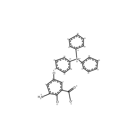 Nc1cc(Cl)cc(C(=O)[O-])c1Cl.c1cc[c]([Sn+]([c]2ccccc2)[c]2ccccc2)cc1